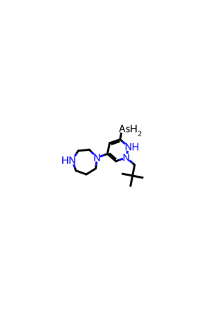 CC(C)(C)CN1C=C(N2CCCNCC2)C=C([AsH2])N1